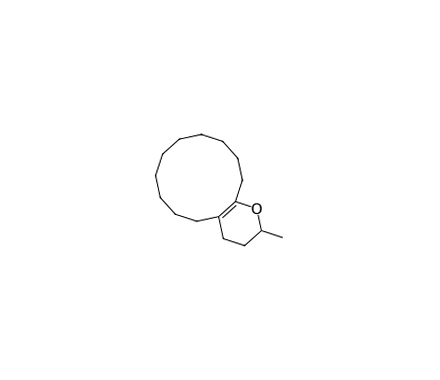 CC1CCC2=C(CCCCCCCCCC2)O1